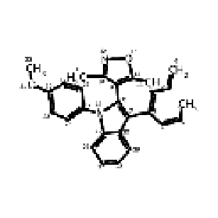 C=C/C=C(\C=C/C)c1c(-c2c(C)noc2C)n(-c2ccc(OC)cc2)c2ccccc12